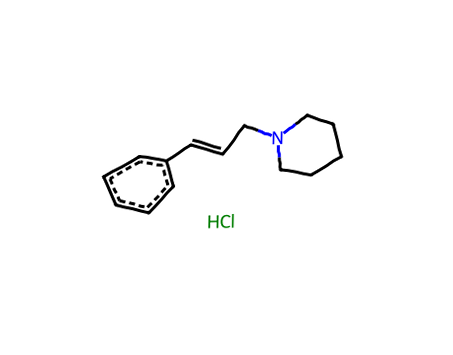 C(=Cc1ccccc1)CN1CCCCC1.Cl